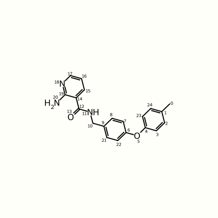 Cc1ccc(Oc2ccc(CNC(=O)c3cccnc3N)cc2)cc1